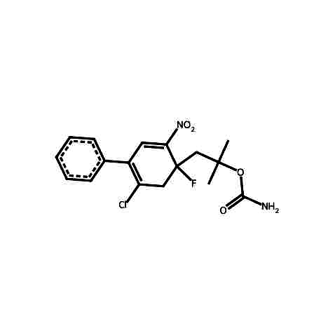 CC(C)(CC1(F)CC(Cl)=C(c2ccccc2)C=C1[N+](=O)[O-])OC(N)=O